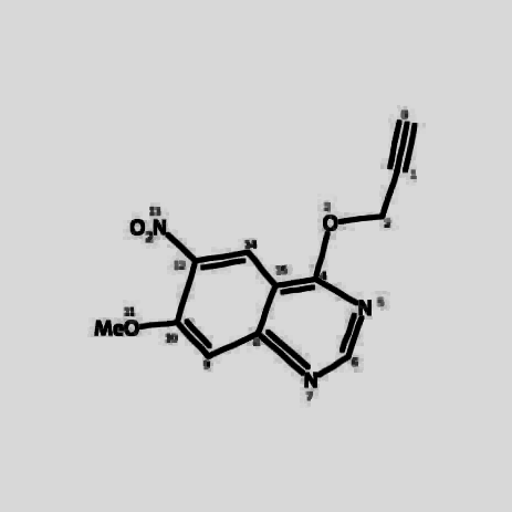 C#CCOc1ncnc2cc(OC)c([N+](=O)[O-])cc12